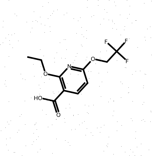 CCOc1nc(OCC(F)(F)F)ccc1C(=O)O